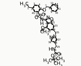 CCc1ccc(OCc2cccnc2)c(S(=O)(=O)Nc2noc3cc(Cn4cc(CNC(=O)OC(C)(C)C)cn4)cc(OC)c23)c1